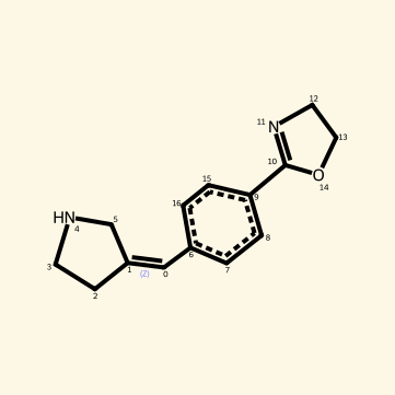 C(=C1\CCNC1)/c1ccc(C2=NCCO2)cc1